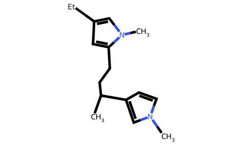 CCc1cc(CCC(C)c2ccn(C)c2)n(C)c1